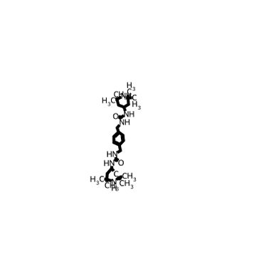 CC1(C)CC(NC(=O)NCc2ccc(CNC(=O)NC3CC(C)(C)NC(C)(C)C3)cc2)CC(C)(C)N1